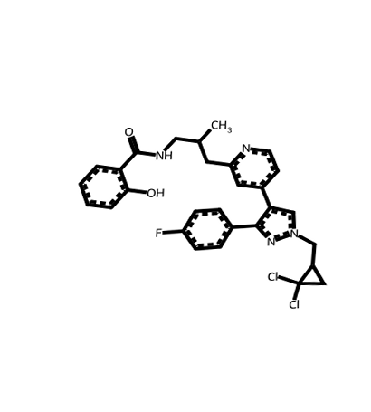 CC(CNC(=O)c1ccccc1O)Cc1cc(-c2cn(CC3CC3(Cl)Cl)nc2-c2ccc(F)cc2)ccn1